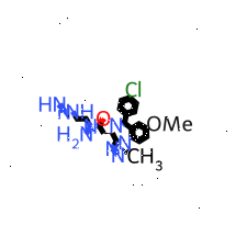 COc1ccc2c(c1)C(c1ccc(Cl)cc1)=N[C@@H](CC(=O)N(N)CCNN=N)c1nnc(C)n1-2